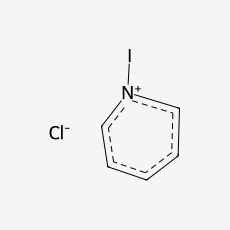 I[n+]1ccccc1.[Cl-]